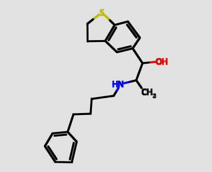 CC(NCCCCc1ccccc1)C(O)c1ccc2c(c1)CCS2